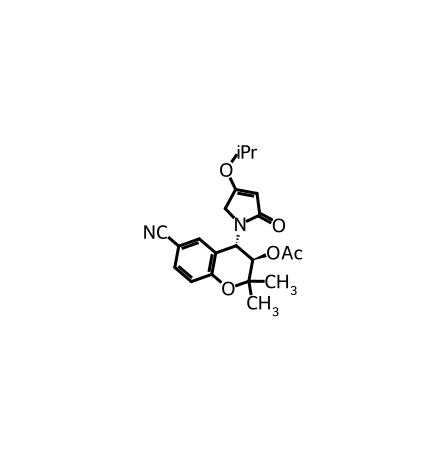 CC(=O)O[C@@H]1[C@@H](N2CC(OC(C)C)=CC2=O)c2cc(C#N)ccc2OC1(C)C